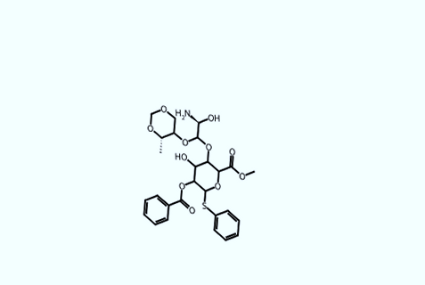 COC(=O)C1OC(Sc2ccccc2)C(OC(=O)c2ccccc2)C(O)C1OC(OC1COCO[C@H]1C)[C@@H](N)O